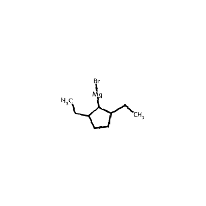 CCC1CCC(CC)[CH]1[Mg][Br]